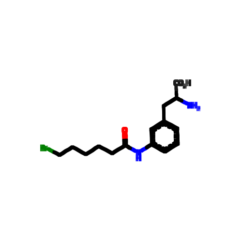 NC(Cc1cccc(NC(=O)CCCCCBr)c1)C(=O)O